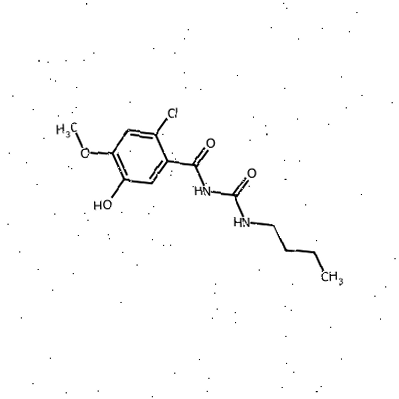 CCCCNC(=O)NC(=O)c1cc(O)c(OC)cc1Cl